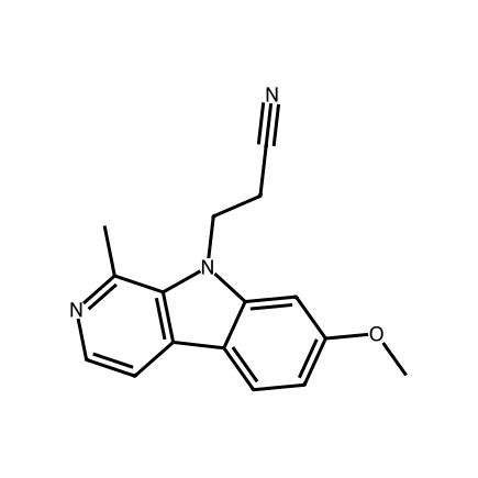 COc1ccc2c3ccnc(C)c3n(CCC#N)c2c1